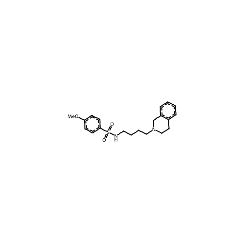 COc1ccc(S(=O)(=O)NCCCCN2CCc3ccccc3C2)cc1